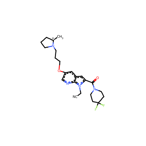 C[C@@H]1CCCN1CCCOc1cnc2c(c1)cc(C(=O)N1CCC(F)(F)CC1)n2CC#N